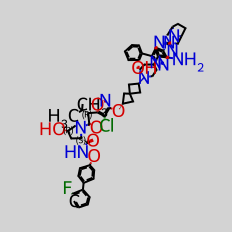 CC(C)[C@@H](C(=O)N1C[C@H](O)C[C@H]1C(=O)NOc1ccc(-c2ccccc2F)cc1)c1onc(O[C@H]2CC3(C2)C[C@H](N2CCC(c4cnc(N5C6CCC5CN(c5cc(-c7ccccc7O)nnc5N)C6)nc4)CC2)C3)c1Cl